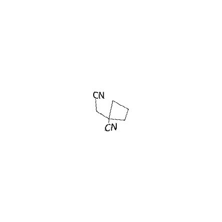 N#CCC1(C#N)CCC1